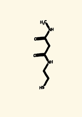 CNC(=O)CC(=O)NCCS